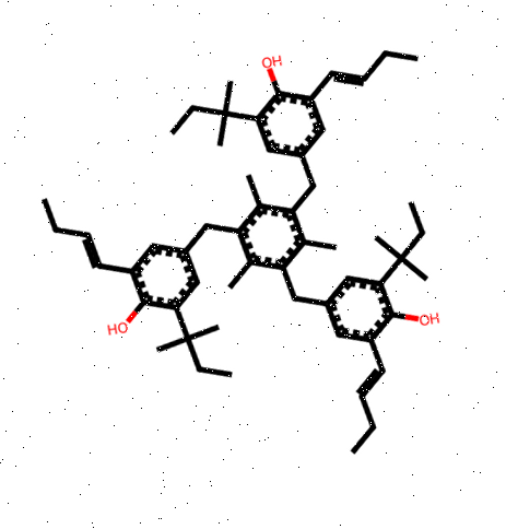 CCC=Cc1cc(Cc2c(C)c(Cc3cc(C=CCC)c(O)c(C(C)(C)CC)c3)c(C)c(Cc3cc(C=CCC)c(O)c(C(C)(C)CC)c3)c2C)cc(C(C)(C)CC)c1O